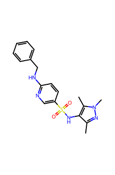 Cc1nn(C)c(C)c1NS(=O)(=O)c1ccc(NCc2ccccc2)nc1